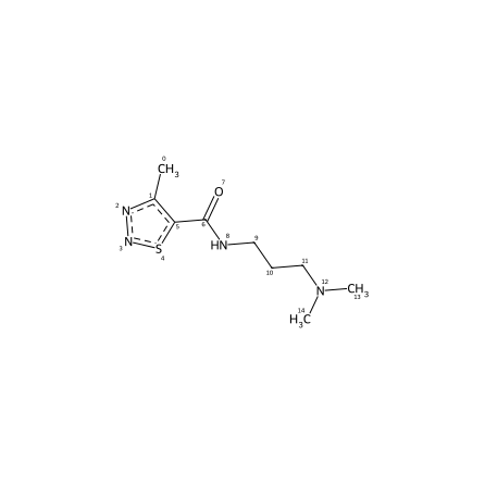 Cc1nnsc1C(=O)NCCCN(C)C